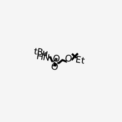 CCC(C)(C)COCCCS(=O)(=O)CCNC(C)(C)C